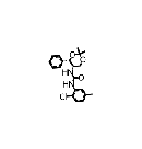 Cc1ccc(Cl)c(NC(=O)N[C@H]2COC(C)(C)O[C@H]2c2ccccc2)c1